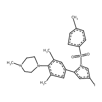 Cc1ccc(S(=O)(=O)n2cc(I)cc2-c2cc(C)c(N3CCN(C)CC3)c(C)c2)cc1